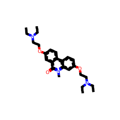 CCN(CC)CCOc1ccc2c(c1)c(=O)n(C)c1cc(OCCN(CC)CC)ccc21